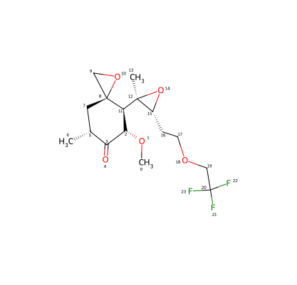 CO[C@@H]1C(=O)[C@H](C)C[C@]2(CO2)[C@H]1[C@@]1(C)O[C@@H]1CCOCC(F)(F)F